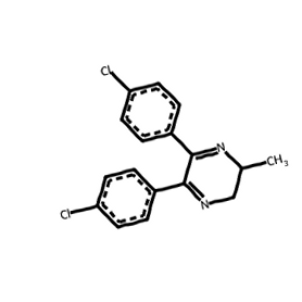 CC1CN=C(c2ccc(Cl)cc2)C(c2ccc(Cl)cc2)=N1